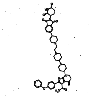 NC(=O)c1c(-c2ccc(Oc3ccccc3)cc2)nn2c1NCC[C@H]2C1CCN(C2CCN(CCN3CCC(c4ccc5c(c4)C(=O)N(C4CCC(=O)NC4=O)C5=O)CC3)CC2)CC1